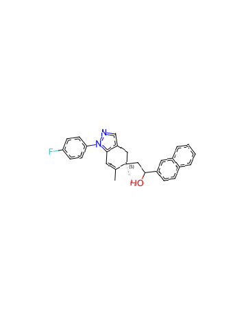 CC1=Cc2c(cnn2-c2ccc(F)cc2)C[C@@]1(C)CC(O)c1ccc2ccccc2c1